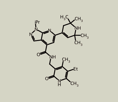 CCc1c(C)[nH]c(=O)c(CNC(=O)c2cc(C3=CC(C)(C)NC(C)(C)C3)nc3c2cnn3C(C)C)c1C